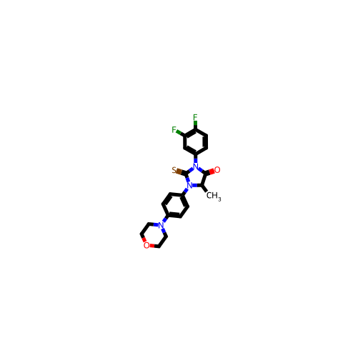 CC1C(=O)N(c2ccc(F)c(F)c2)C(=S)N1c1ccc(N2CCOCC2)cc1